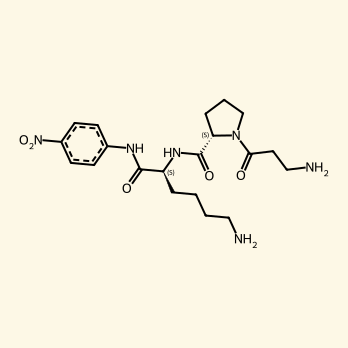 NCCCC[C@H](NC(=O)[C@@H]1CCCN1C(=O)CCN)C(=O)Nc1ccc([N+](=O)[O-])cc1